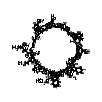 CCCC[C@H]1C(=O)N(C)[C@@H](CCCC)C(=O)N[C@@H](CCN)C(=O)N[C@H](C(=O)NCC(N)=O)CSCC(=O)N[C@@H](Cc2ccc(O)cc2)C(=O)N(C)[C@@H](C)C(=O)N[C@@H](CC(N)=O)C(=O)N2CCC[C@H]2C(=O)N[C@@H](Cc2cnc[nH]2)C(=O)N[C@@H](CC(C)C)C(=O)N2C[C@@H](O)C[C@H]2C(=O)N[C@@H](Cc2c[nH]c3ccccc23)C(=O)N[C@@H](CCN)C(=O)N[C@@H](Cc2cn(CC(=O)O)c3ccccc23)C(=O)N1C